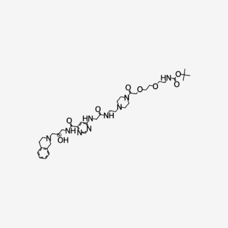 CC(C)(C)OC(=O)NCCOCCOCC(=O)N1CCN(CCNC(=O)CNc2cc(C(=O)NC[C@H](O)CN3CCc4ccccc4C3)ncn2)CC1